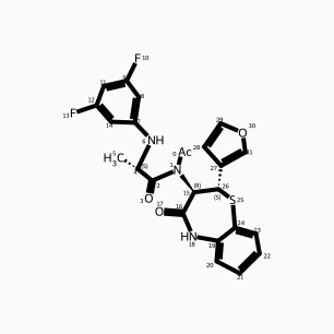 CC(=O)N(C(=O)[C@H](C)Nc1cc(F)cc(F)c1)[C@@H]1C(=O)Nc2ccccc2S[C@H]1c1ccoc1